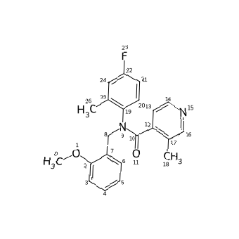 COc1ccccc1CN(C(=O)c1ccncc1C)c1ccc(F)cc1C